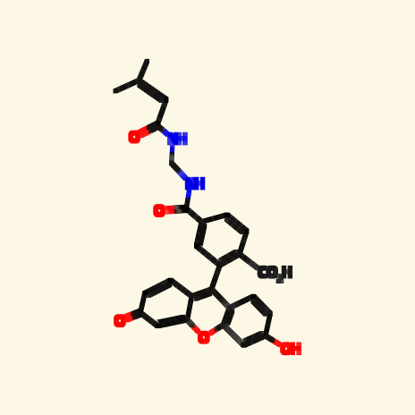 CC(C)=CC(=O)NCNC(=O)c1ccc(C(=O)O)c(-c2c3ccc(=O)cc-3oc3cc(O)ccc23)c1